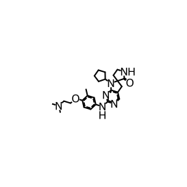 Cc1cc(Nc2ncc3c(n2)N(C2CCCC2)C2(CCNC2=O)C3)ccc1OCCN(C)C